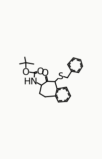 CC(C)(C)OC(=O)NC1CCc2ccccc2C(SCc2ccccc2)C1=O